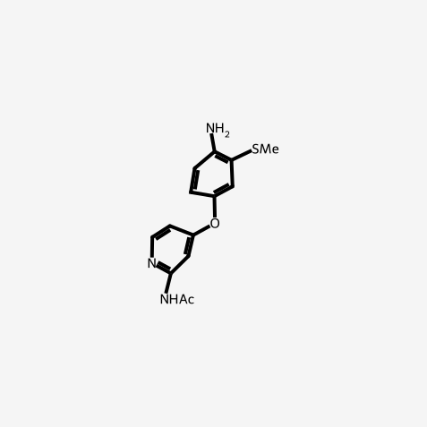 CSc1cc(Oc2ccnc(NC(C)=O)c2)ccc1N